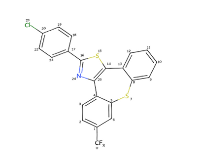 FC(F)(F)c1ccc2c(c1)Sc1ccccc1-c1sc(-c3ccc(Cl)cc3)nc1-2